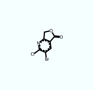 O=C1OCc2nc(Cl)c(Br)cc21